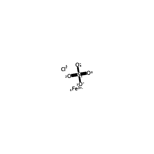 O=S(=O)([O-])[O-].[Cl-].[Fe+3]